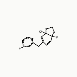 Fc1cc[c]c(CC2=CC3(Cl)OCOC3(F)C=C2)c1